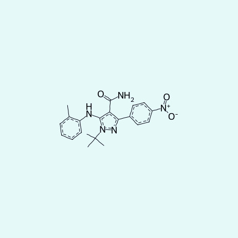 Cc1ccccc1Nc1c(C(N)=O)c(-c2ccc([N+](=O)[O-])cc2)nn1C(C)(C)C